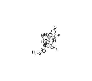 CSc1ccc(C(=O)O[C@]2(C(=O)OCC#N)[C@H](C)C[C@H]3[C@@H]4C[C@H](F)C5=CC(=O)C=C[C@]5(C)[C@@]4(F)[C@@H](O)C[C@@]32C)s1